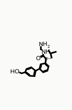 CC(C)C[C@@H](C(=O)NCN)c1cccc(-c2ccc(CO)cc2)c1